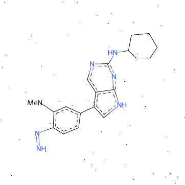 CNc1cc(-c2c[nH]c3nc(NC4CCCCC4)ncc23)ccc1N=N